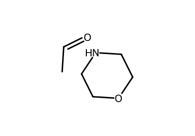 C1COCCN1.CC=O